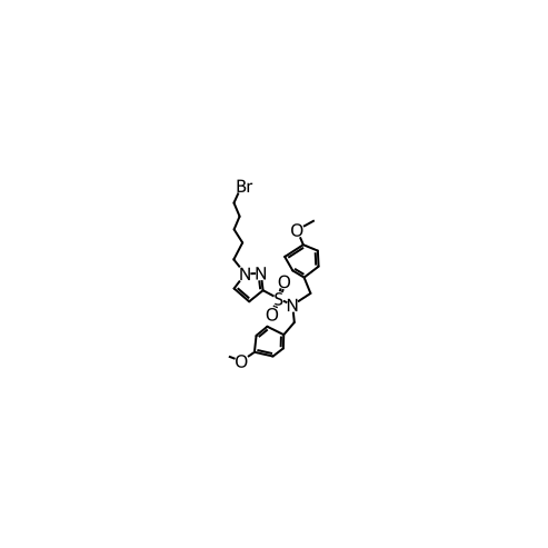 COc1ccc(CN(Cc2ccc(OC)cc2)S(=O)(=O)c2ccn(CCCCCBr)n2)cc1